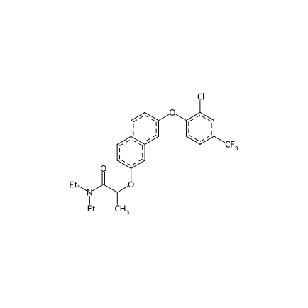 CCN(CC)C(=O)C(C)Oc1ccc2ccc(Oc3ccc(C(F)(F)F)cc3Cl)cc2c1